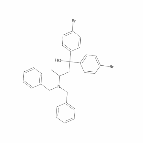 CC(CC(O)(c1ccc(Br)cc1)c1ccc(Br)cc1)N(Cc1ccccc1)Cc1ccccc1